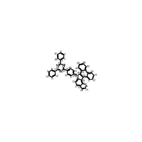 c1ccc(-c2nc(-c3ccccc3)nc(-c3ccc(-n4c5ccc6ccsc6c5c5c6ccccc6c6ccccc6c54)cc3)n2)cc1